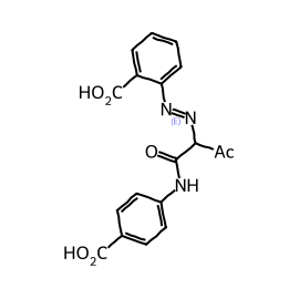 CC(=O)C(/N=N/c1ccccc1C(=O)O)C(=O)Nc1ccc(C(=O)O)cc1